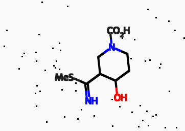 CSC(=N)C1CN(C(=O)O)CCC1O